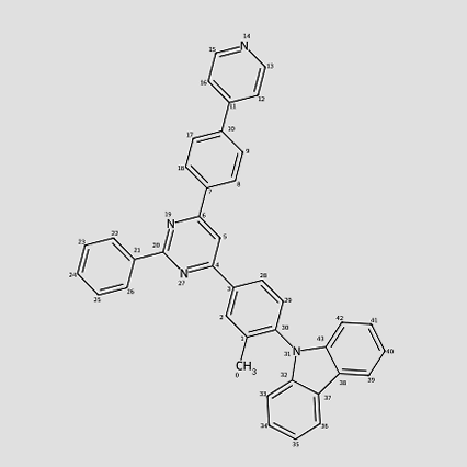 Cc1cc(-c2cc(-c3ccc(-c4ccncc4)cc3)nc(-c3ccccc3)n2)ccc1-n1c2ccccc2c2ccccc21